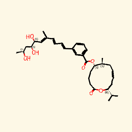 CC(C=CC=Cc1cccc(C(=O)O[C@H]2CCCC(=O)O[C@@H](C(C)C)CC=CC[C@@H]2C)c1)=C[C@H](O)[C@@H](O)C[C@H](C)O